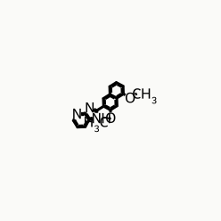 COc1cc2c(OC)cccc2cc1-c1nc2ncccc2[nH]1